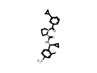 O=C(N[C@@H](c1ccc(C(F)(F)F)cc1F)C1CC1)[C@H]1CCCN1C(=O)c1cccc(C2CC2)c1